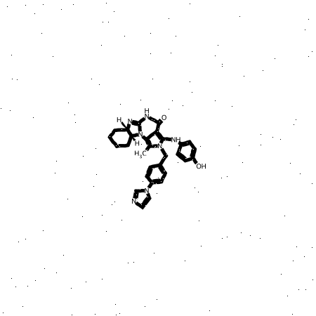 Cc1c2c(c(Nc3ccc(O)cc3)n1Cc1ccc(-n3ccnc3)cc1)C(=O)NC1=N[C@H]3CCCC[C@H]3N12